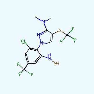 CN(C)c1nn(-c2c(Cl)cc(C(F)(F)F)cc2NS)cc1SC(F)(F)F